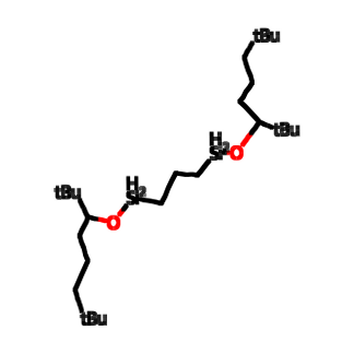 CC(C)(C)CCCC(O[SiH2]CCC[SiH2]OC(CCCC(C)(C)C)C(C)(C)C)C(C)(C)C